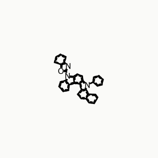 c1ccc(-n2c3ccc4c(c5ccccc5n4-c4nc5ccccc5o4)c3c3ccc4ccccc4c32)cc1